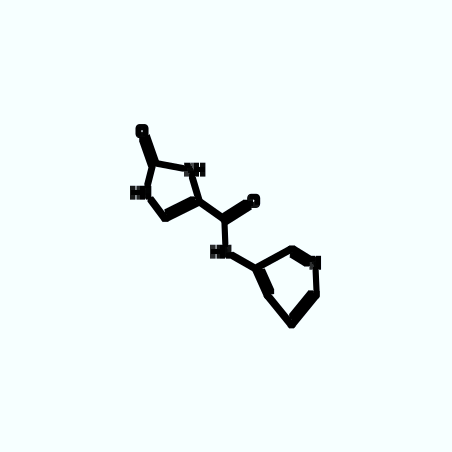 O=C(Nc1cccnc1)c1c[nH]c(=O)[nH]1